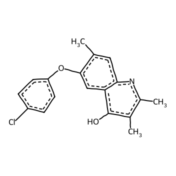 Cc1cc2nc(C)c(C)c(O)c2cc1Oc1ccc(Cl)cc1